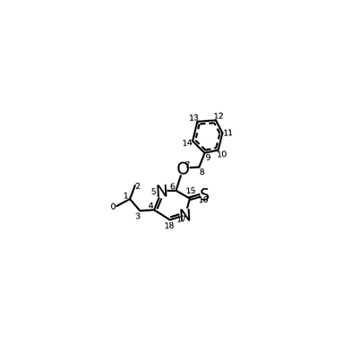 CC(C)CC1=NC(OCc2ccccc2)C(=S)N=C1